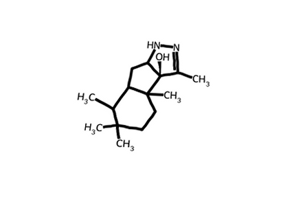 CC1=NNC2CC3C(C)C(C)(C)CCC3(C)[C@@]12O